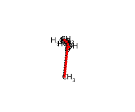 CCCCCCCCCCCCCCCCCCCCCCOCC(COP(=O)(O)OCC[N+](C)(C)C)OO